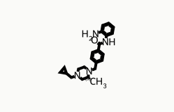 C[C@H]1CN(CC2CC2)CCN1Cc1ccc(C(=O)Nc2ccccc2N)cc1